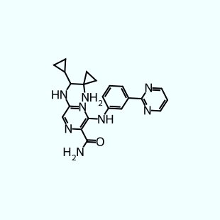 NC(=O)c1ncc(NC(C2CC2)C2(N)CC2)nc1Nc1cccc(-c2ncccn2)c1